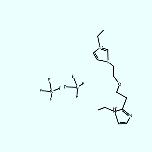 CC[n+]1ccn(CCOCCC2=NC=C[NH+]2CC)c1.F[B-](F)(F)F.F[B-](F)(F)F